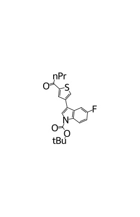 CCCC(=O)c1cc(-c2cn(C(=O)OC(C)(C)C)c3ccc(F)cc23)cs1